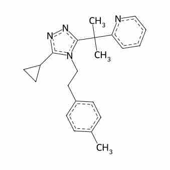 Cc1ccc(CCn2c(C3CC3)nnc2C(C)(C)c2ccccn2)cc1